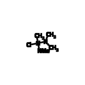 CN[Si](C)(Cl)N(C)C